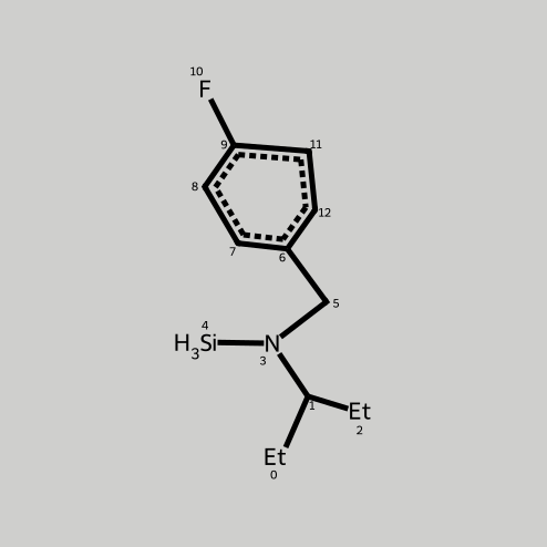 CCC(CC)N([SiH3])Cc1ccc(F)cc1